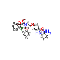 Nc1ccccc1NC(=O)c1ccc(OCCN(COc2ccccc2)C(=O)c2oc3ccccc3c2F)cc1